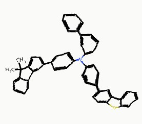 CC1(C)c2ccccc2-c2cc(-c3ccc(N(c4ccc(-c5ccc6sc7ccccc7c6c5)cc4)c4cccc(-c5ccccc5)c4)cc3)ccc21